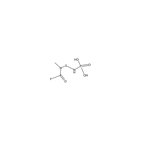 CN(SNP(=O)(O)O)C(=O)F